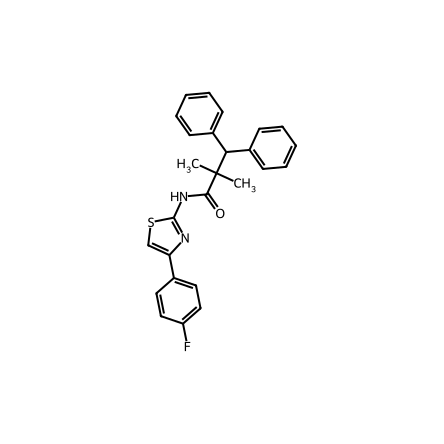 CC(C)(C(=O)Nc1nc(-c2ccc(F)cc2)cs1)C(c1ccccc1)c1ccccc1